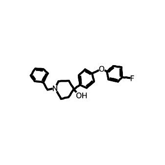 OC1(c2ccc(Oc3ccc(F)cc3)cc2)CCN(Cc2ccccc2)CC1